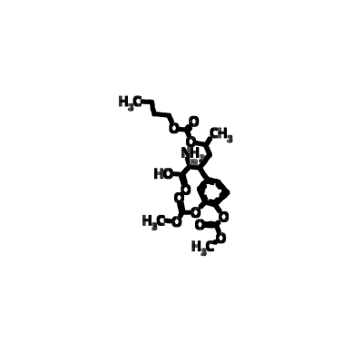 CCCCOC(=O)OC(C)CC(c1ccc(OC(=O)OC)c(OC(=O)OC)c1)[C@H](N)C(=O)O